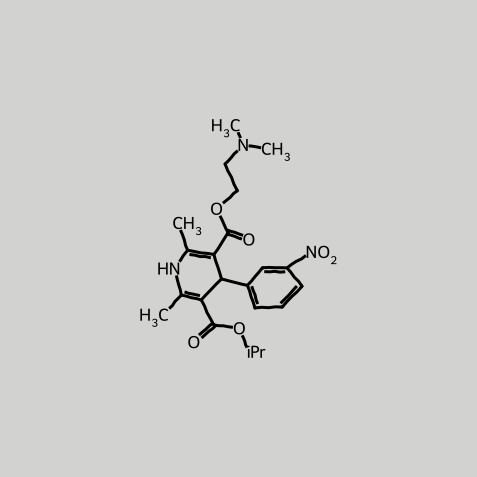 CC1=C(C(=O)OCCN(C)C)C(c2cccc([N+](=O)[O-])c2)C(C(=O)OC(C)C)=C(C)N1